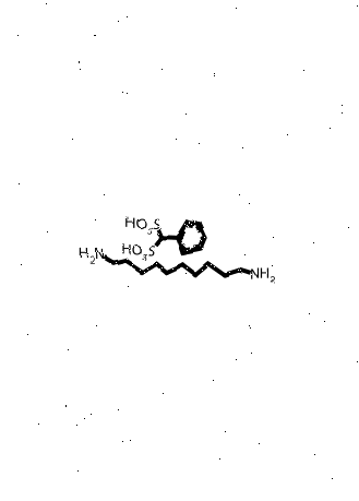 NCCCCCCCCCCN.O=S(=O)(O)C(c1ccccc1)S(=O)(=O)O